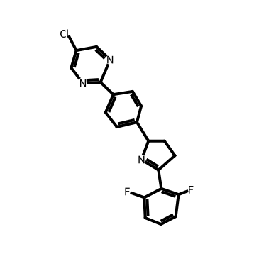 Fc1cccc(F)c1C1=NC(c2ccc(-c3ncc(Cl)cn3)cc2)CC1